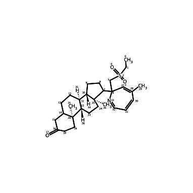 CCS(=O)(=O)CC1(C2CC[C@H]3[C@@H]4CCC5CC(=O)CC[C@]5(C)[C@H]4CC[C@]23C)C=C(C)C=CC=N1